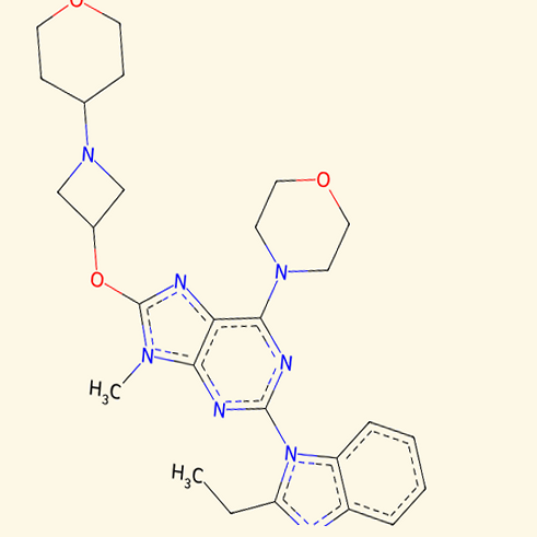 CCc1nc2ccccc2n1-c1nc(N2CCOCC2)c2nc(OC3CN(C4CCOCC4)C3)n(C)c2n1